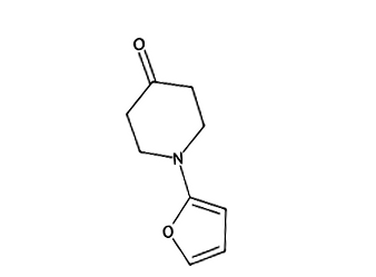 O=C1CCN(c2ccco2)CC1